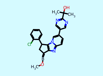 CO/B=C1/CC(c2ccccc2Cl)c2c1nc1ccc(-c3cnc(C(C)(C)O)nc3)cn21